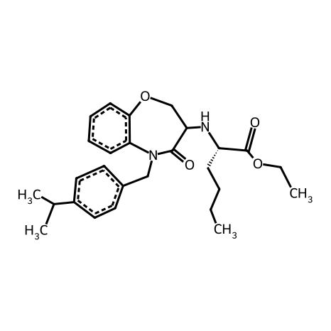 CCCC[C@H](NC1COc2ccccc2N(Cc2ccc(C(C)C)cc2)C1=O)C(=O)OCC